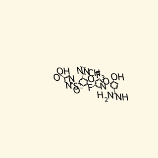 CN1CC=NC1c1cc([S+]([O-])c2ncc(C(=O)O)cn2)ccc1Oc1c(F)cnc(Oc2cc(C(=N)N)ccc2O)c1F